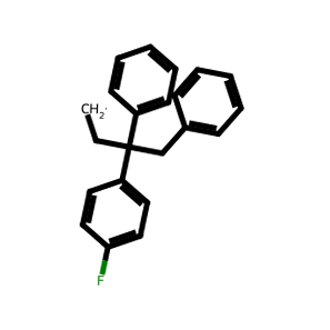 [CH2]CC(Cc1ccccc1)(c1ccccc1)c1ccc(F)cc1